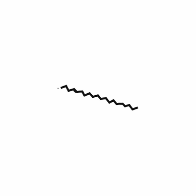 [CH2]CCC=CCCCCCCCCCCCCCCC